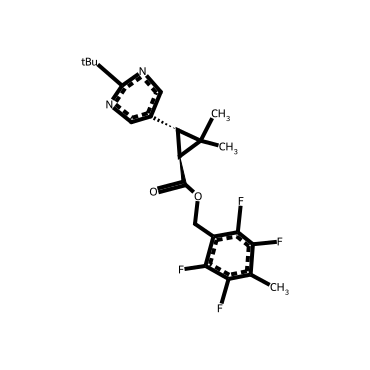 Cc1c(F)c(F)c(COC(=O)[C@H]2[C@H](c3cnc(C(C)(C)C)nc3)C2(C)C)c(F)c1F